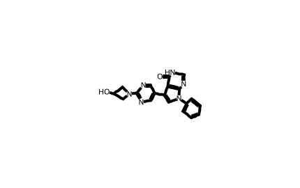 O=c1[nH]cnc2c1c(-c1cnc(N3CC(O)C3)nc1)cn2-c1ccccc1